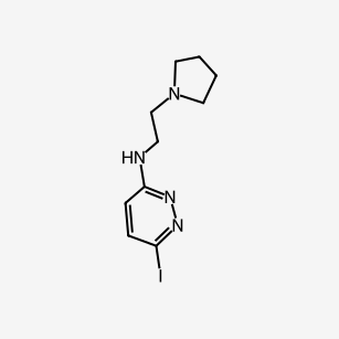 Ic1ccc(NCCN2CCCC2)nn1